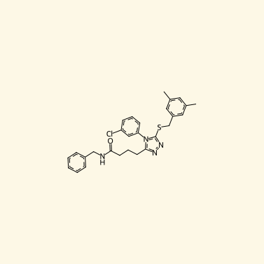 Cc1cc(C)cc(CSc2nnc(CCCC(=O)NCc3ccccc3)n2-c2cccc(Cl)c2)c1